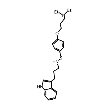 CCN(CC)CCCOc1ccc(SNCCCc2c[nH]c3ccccc23)cc1